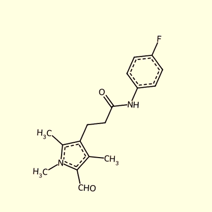 Cc1c(CCC(=O)Nc2ccc(F)cc2)c(C)n(C)c1C=O